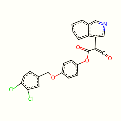 O=C=C(C(=O)Oc1ccc(OCc2ccc(Cl)c(Cl)c2)cc1)c1cncc2ccccc12